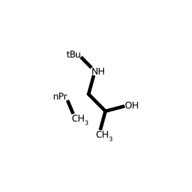 CC(O)CNC(C)(C)C.CCCC